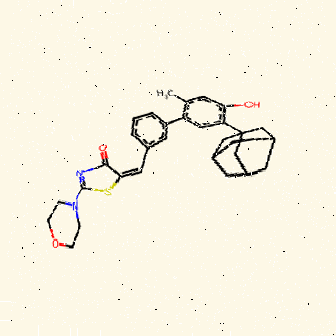 Cc1cc(O)c(C23CC4CC(CC(C4)C2)C3)cc1-c1cccc(C=C2SC(N3CCOCC3)=NC2=O)c1